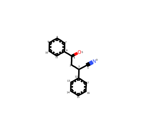 N#CC(CC(=O)c1ccccc1)c1ccccc1